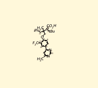 Cc1cc(-c2ccc(OC[C@](C)(CC(C)C)N(C(=O)O)C(C)(C)C)c(C(F)(F)F)c2)ncn1